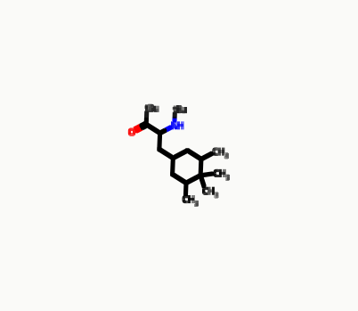 CC1CC(CC(NC(C)(C)C)C(=O)C(C)(C)C)CC(C)C1(C)C